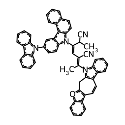 C/C(=C(C#N)\C=C(/C(C)C#N)n1c2ccc(-n3c4ccccc4c4ccccc43)cc2c2c3ccccc3ccc21)n1c2c(c3ccccc31)C=Cc1c(oc3ccccc13)C2